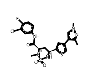 Cc1nn(C)cc1-c1csc([C@@H]2C[C@H](C(=O)Nc3ccc(F)c(Cl)c3)N(C)S(=O)(=O)N2)c1